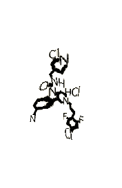 Cl.N#Cc1ccc2c(c1)c1c(n2C(=O)NCc2ccnc(Cl)c2)CCN(C/C=C/c2c(F)cc(Cl)cc2F)C1